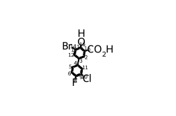 O=C(O)c1cc(-c2ccc(F)c(Cl)c2)cc(Br)c1O